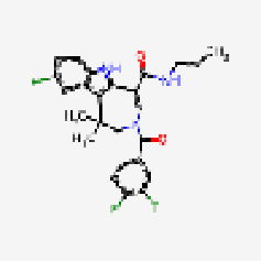 CCCNC(=O)C1=CN(C(=O)c2ccc(F)c(F)c2)CC(C)(C)c2c1[nH]c1ccc(F)cc21